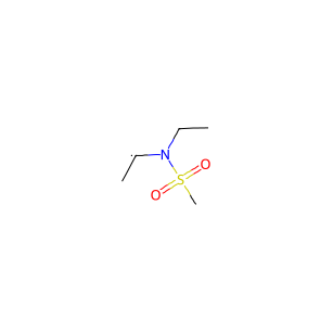 C[CH]N(CC)S(C)(=O)=O